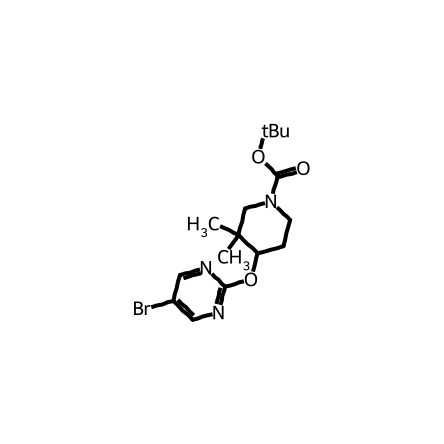 CC(C)(C)OC(=O)N1CCC(Oc2ncc(Br)cn2)C(C)(C)C1